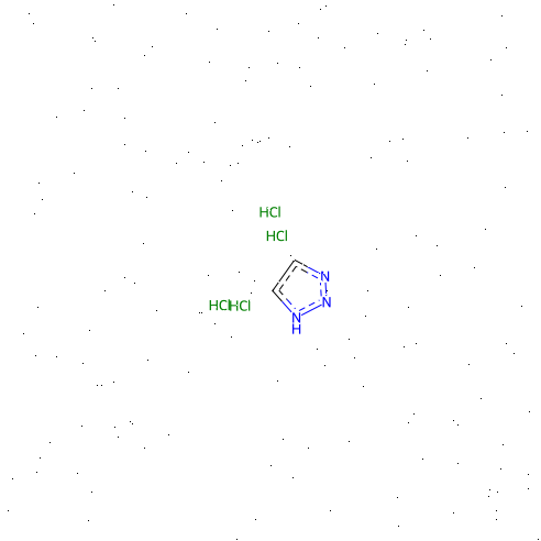 Cl.Cl.Cl.Cl.c1c[nH]nn1